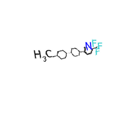 CC[C@H]1CC[C@H](C2CCC(c3ccc(C(F)(F)F)nc3)CC2)CC1